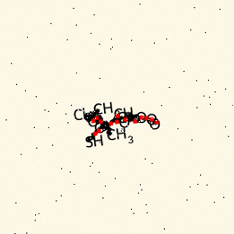 CCCc1cc(OCCCCCCS)c(-c2ccc3c(c2)Oc2ccc(Cl)cc2N3CCC)cc1CCc1ccc(OC(=O)c2ccc3cc(OCCCOC4CO4)ccc3c2)c(C)c1